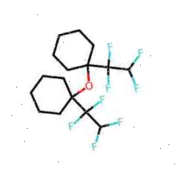 FC(F)C(F)(F)C1(OC2(C(F)(F)C(F)F)CCCCC2)CCCCC1